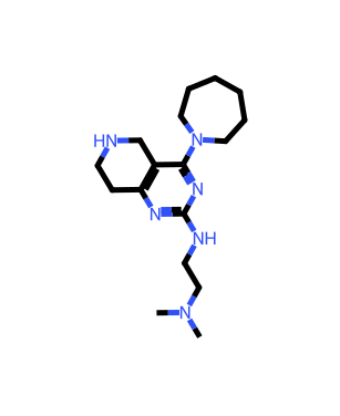 CN(C)CCNc1nc2c(c(N3CCCCCC3)n1)CNCC2